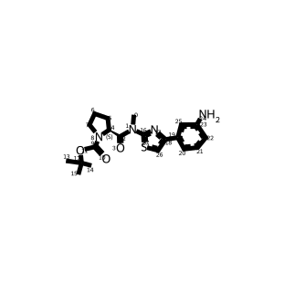 CN(C(=O)[C@@H]1CCCN1C(=O)OC(C)(C)C)c1nc(-c2cccc(N)c2)cs1